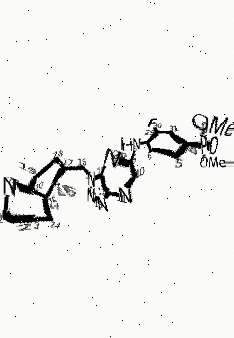 COP(=O)(OC)c1ccc(Nc2cnc3nnn(Cc4ccc5ncccc5c4)c3n2)c(F)c1